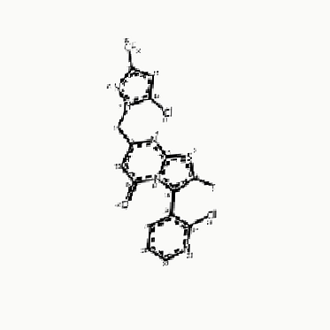 Cc1sc2nc(Cn3nc(C(F)(F)F)cc3Cl)cc(=O)n2c1-c1cccnc1Cl